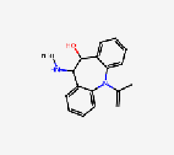 C=C(C)N1c2ccccc2C(O)C(NCCCC)c2ccccc21